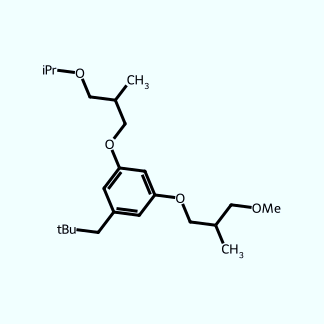 COCC(C)COc1cc(CC(C)(C)C)cc(OCC(C)COC(C)C)c1